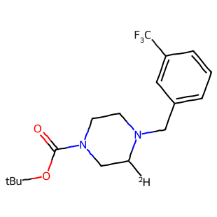 [2H]C1CN(C(=O)OC(C)(C)C)CCN1Cc1cccc(C(F)(F)F)c1